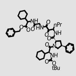 CCCC(NC(=O)[C@@H]1C[C@@H](c2ccccc2)CN1C(=O)[C@@H](NC(=O)OC(C)(C)C)C1CCCCC1)C(=O)C(=O)NCC(=O)NC(C(=O)OCc1ccccc1)C1CCCCC1